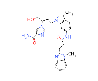 Cc1cn(CC[C@H](CO)n2cnc(C(N)=O)c2)c2cc(NC(=O)CCc3nc4ccccc4n3C)ccc12